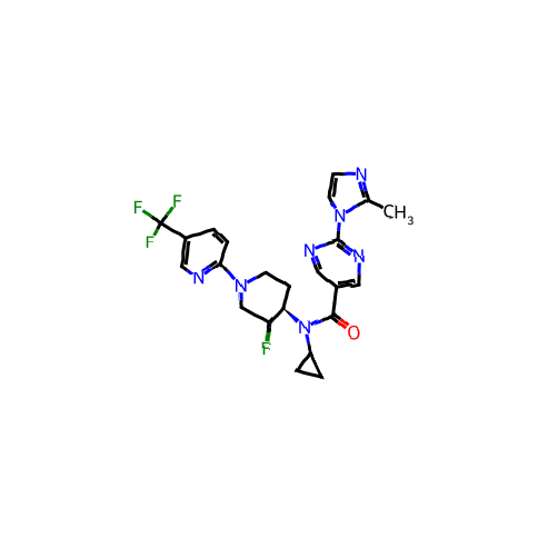 Cc1nccn1-c1ncc(C(=O)N(C2CC2)[C@@H]2CCN(c3ccc(C(F)(F)F)cn3)CC2F)cn1